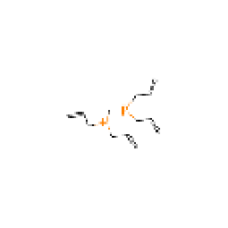 C=CCP(CC=C)CP(CC=C)CC=C